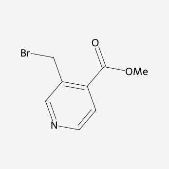 COC(=O)c1ccncc1CBr